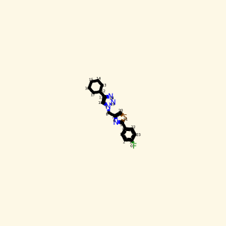 Fc1ccc(-c2nc(Cn3cc(C4CCCCC4)nn3)cs2)cc1